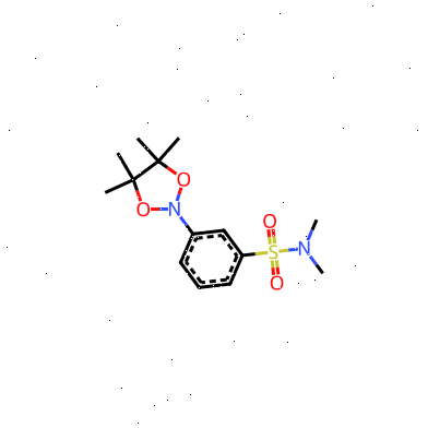 CN(C)S(=O)(=O)c1cccc(N2OC(C)(C)C(C)(C)O2)c1